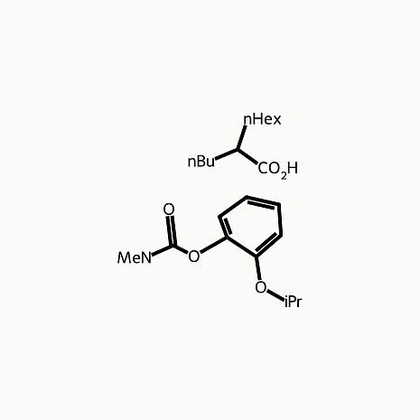 CCCCCCC(CCCC)C(=O)O.CNC(=O)Oc1ccccc1OC(C)C